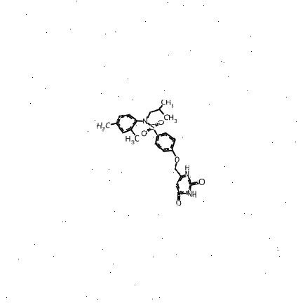 Cc1ccc(N(CC(C)C)S(=O)(=O)c2ccc(OCc3cc(=O)[nH]c(=O)[nH]3)cc2)c(C)c1